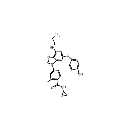 Cc1cc(-n2cnc3c(NCCC(F)(F)F)cc(Oc4ccc(O)cc4)cc32)ccc1C(=O)NC1CC1